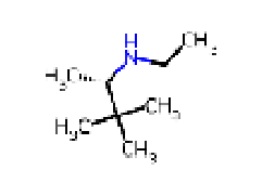 CCN[C@@H](C)C(C)(C)C